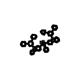 C1=CC(C2=CC(c3ccccc3)CC(n3c4ccccc4c4ccc(-c5nnc(-c6ccc7c8ccccc8n(-c8cc(-c9ccccc9)cc(-c9ccccc9)c8)c7c6)n5-c5ccccc5)cc43)=C2)=CCC1